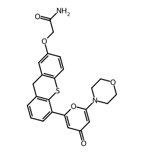 NC(=O)COc1ccc2c(c1)Cc1cccc(-c3cc(=O)cc(N4CCOCC4)o3)c1S2